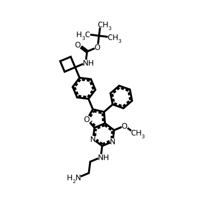 COc1nc(NCCN)nc2oc(-c3ccc(C4(NC(=O)OC(C)(C)C)CCC4)cc3)c(-c3ccccc3)c12